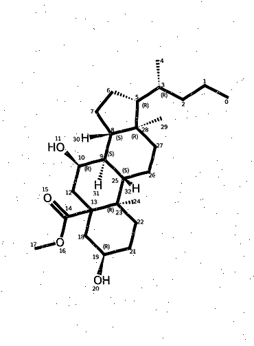 CCC[C@@H](C)[C@H]1CC[C@H]2[C@@H]3[C@H](O)CC4(C(=O)OC)C[C@H](O)CC[C@]4(C)[C@H]3CC[C@]12C